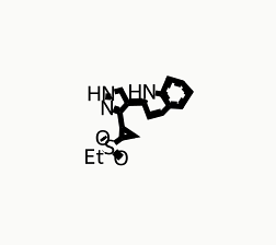 CCS(=O)(=O)C1CC1C1=NNCC1=C1C=Cc2ccccc2N1